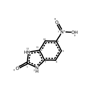 O=c1[nH]c2ccc([N+](=O)O)cc2[nH]1